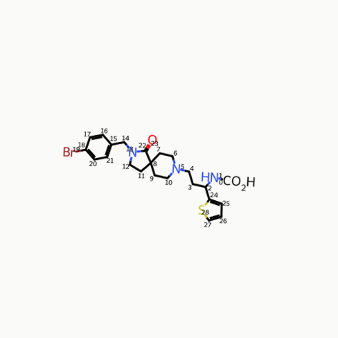 O=C(O)NC(CCN1CCC2(CC1)CCN(Cc1ccc(Br)cc1)C2=O)c1cccs1